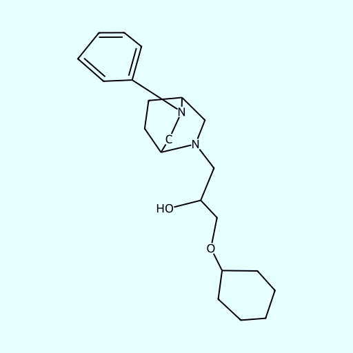 OC(COC1CCCCC1)CN1CC2CCC1CN2c1ccccc1